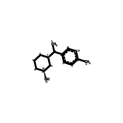 Cc1ccc(C(C)N2CCC[C@@H](O)C2)cn1